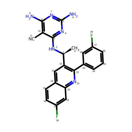 C[C@H](Nc1nc(N)nc(N)c1C#N)c1cc2ccc(F)cc2nc1-c1cccc(F)c1